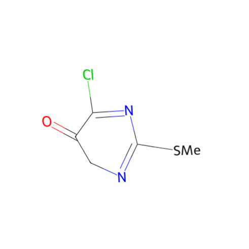 CSC1=NCC(=O)C(Cl)=N1